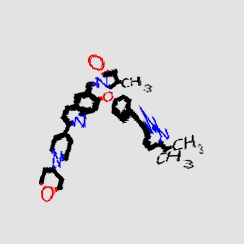 CC1CC(=O)N(Cc2cc3ccc(C4=CCN(C5CCOCC5)CC4)nc3cc2Oc2ccc(-c3ccc(C(C)C)nn3)cc2)C1